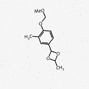 COCOc1ccc(C2OC(C)O2)cc1C